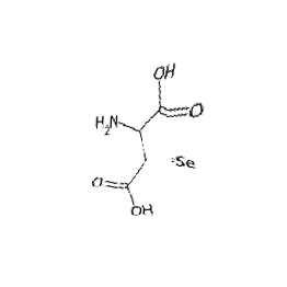 NC(CC(=O)O)C(=O)O.[Se]